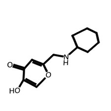 O=c1cc(CNC2CCCCC2)occ1O